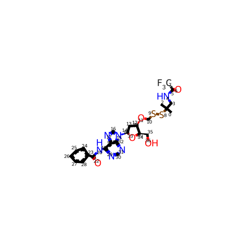 CC(C)(CNC(=O)C(F)(F)F)SSCO[C@@H]1C[C@H](n2cnc3c(NC(=O)c4ccccc4)ncnc32)O[C@@H]1CO